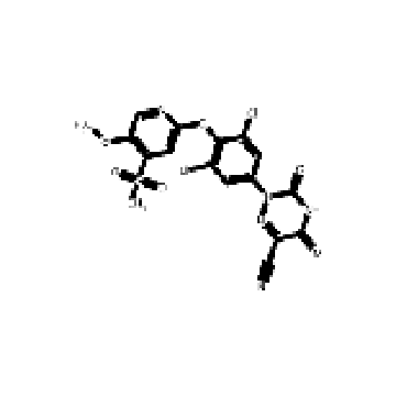 COc1cnc(Oc2c(Cl)cc(-n3nc(C#N)c(=O)[nH]c3=O)cc2Cl)cc1S(C)(=O)=O